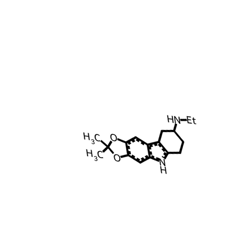 CCNC1CCc2[nH]c3cc4c(cc3c2C1)OC(C)(C)O4